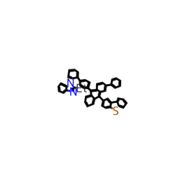 CCc1nc2ccccc2n1-c1ccccc1-c1ccc(-c2c3ccccc3c(-c3ccc4sc5ccccc5c4c3)c3cc(-c4ccccc4)ccc23)cc1